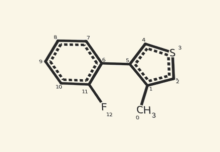 Cc1[c]scc1-c1ccccc1F